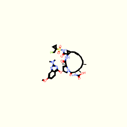 COc1ccc2c(O[C@@H]3C[C@H]4C(=O)NC5(C(=O)NS(=O)(=O)C6(CF)CC6)CC5/C=C\CC[C@@H](C)C[C@@H](C)[C@H](NC(=O)O)C(=O)N4C3)nc(N(C)C)nc2c1